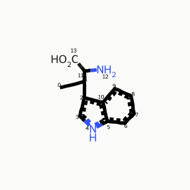 CC(c1c[nH]c2ccccc12)C(N)C(=O)O